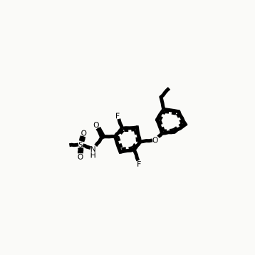 CCc1cccc(Oc2cc(F)c(C(=O)NS(C)(=O)=O)cc2F)c1